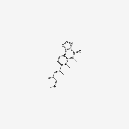 C=C(/C=N\C)/C=C(\C)c1ccc2c3ocnc3c(=O)n(C)c2c1C